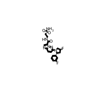 NS(=O)(=O)CCNC(=O)c1cnc2ccc(N3C[C@@H](F)C[C@@H]3c3cccc(F)c3)nn12